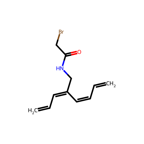 C=C/C=C\C(=C/C=C)CNC(=O)CBr